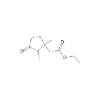 CCOC(=O)CC1(C)CCC(=O)C1C